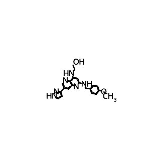 COc1ccc(CNc2cc(NCCO)c3ncc(-c4cc[nH]n4)cc3n2)cc1